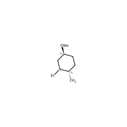 CCN1C[C@@H](OC)CC[C@@H]1C